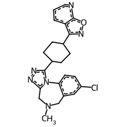 CN1Cc2cc(Cl)ccc2-n2c(nnc2C2CCC(c3noc4ncccc34)CC2)C1